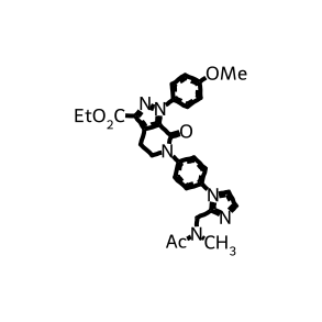 CCOC(=O)c1nn(-c2ccc(OC)cc2)c2c1CCN(c1ccc(-n3ccnc3CN(C)C(C)=O)cc1)C2=O